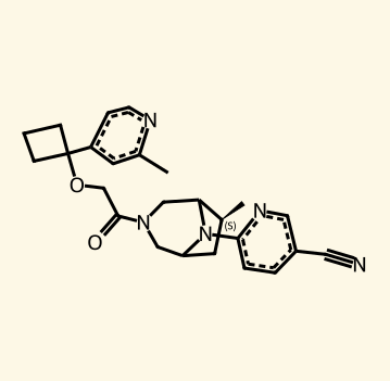 Cc1cc(C2(OCC(=O)N3CC4C[C@H](C)C(C3)N4c3ccc(C#N)cn3)CCC2)ccn1